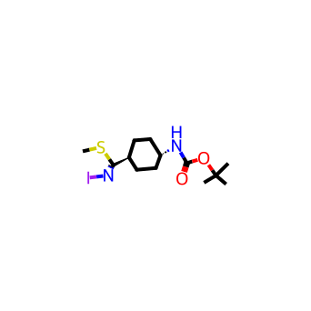 CS/C(=N\I)[C@H]1CC[C@H](NC(=O)OC(C)(C)C)CC1